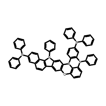 c1ccc(N(c2ccccc2)c2ccc3c(c2)N(c2ccccc2)c2cccc4c2B3c2cc3c(cc2O4)c2ccc4cc(N(c5ccccc5)c5ccccc5)ccc4c2n3-c2ccccc2)cc1